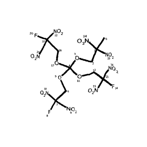 CC(COC(OCC(F)([N+](=O)[O-])[N+](=O)[O-])(OCC(F)([N+](=O)[O-])[N+](=O)[O-])OCC(F)([N+](=O)[O-])[N+](=O)[O-])([N+](=O)[O-])[N+](=O)[O-]